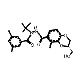 Cc1cc(C)cc(C(=O)N(NC(=O)c2ccc3c(c2C)O[C@@H](CO)CO3)C(C)(C)C)c1